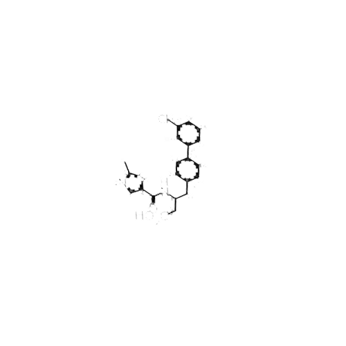 Cc1ncc(C(=O)NC(CC(=O)O)Cc2ccc(-c3cccc(Cl)c3)cc2)s1